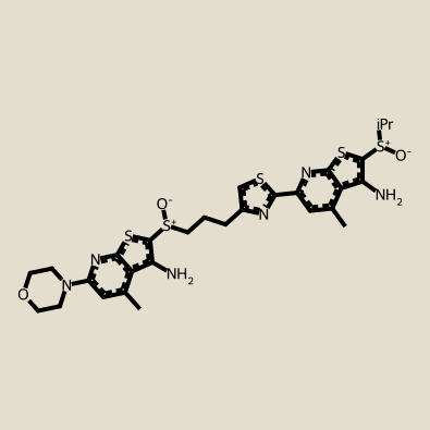 Cc1cc(N2CCOCC2)nc2sc([S+]([O-])CCCc3csc(-c4cc(C)c5c(N)c([S+]([O-])C(C)C)sc5n4)n3)c(N)c12